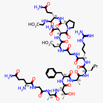 CC(C)C[C@H](NC(=O)[C@H](C)NC(=O)[C@H](Cc1ccccc1)NC(=O)[C@@H](NC(=O)[C@H](C)NC(=O)CNC(=O)[C@@H](N)CCC(N)=O)[C@@H](C)O)C(=O)N[C@@H](CCCNC(=N)N)C(=O)NCC(=O)N[C@@H](CC(=O)O)C(=O)N[C@@H](CC(N)=O)C(=O)N1CCC[C@H]1C(=O)N[C@@H](CCC(N)=O)C(=O)NCC(=O)O